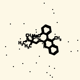 COc1ccccc1-c1c(SCC(C)(C)N(C)C)nc2ccccc2c1C